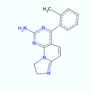 Cc1ccccc1-c1nc(N)nc2c1C=CC1=NCCN12